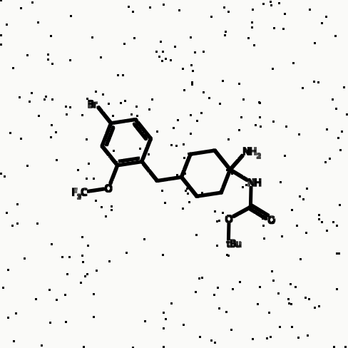 CC(C)(C)OC(=O)NC1(N)CCC(Cc2ccc(Br)cc2OC(F)(F)F)CC1